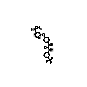 CNc1cc(Oc2ccc(NC(=O)Nc3cccc(C(F)(F)F)c3)cc2)ncn1